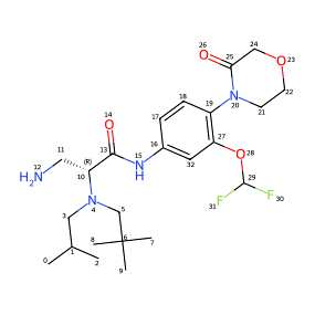 CC(C)CN(CC(C)(C)C)[C@H](CN)C(=O)Nc1ccc(N2CCOCC2=O)c(OC(F)F)c1